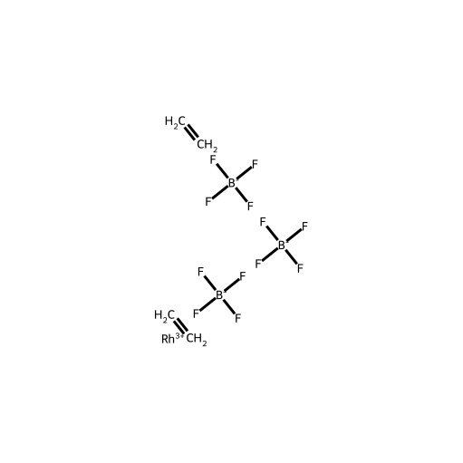 C=C.C=C.F[B-](F)(F)F.F[B-](F)(F)F.F[B-](F)(F)F.[Rh+3]